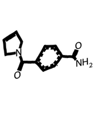 NC(=O)c1[c]cc(C(=O)N2CC=CC2)cc1